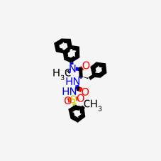 Cc1ccccc1S(=O)(=O)NC(=O)N[C@@H](Cc1ccccc1)C(=O)N(C)c1ccc2ccccc2c1